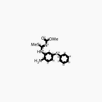 COC(=O)N=C(Nc1cc(Sc2ccccc2)ccc1N)SC